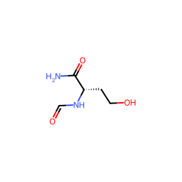 NC(=O)[C@H](CCO)NC=O